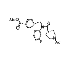 COC(=O)c1ccc(CN(C(=O)N2CCN(C(C)=O)CC2)c2cccc(F)c2)cc1